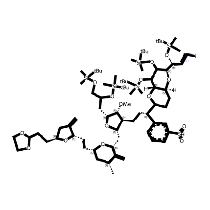 C=C1C[C@H](CCC2OCCO2)O[C@H]1CC[C@H]1C[C@@H](C)C(=C)[C@@H](C[C@@H]2O[C@H](CC(CO[Si](C)(C)C(C)(C)C)O[Si](C)(C)C(C)(C)C)[C@H](OC)[C@H]2CC[C@@H](c2cccc([SH](=O)=O)c2)C2CC[C@@H]3O[C@H]([C@@H](/C=C/I)O[Si](C)(C)C(C)(C)C)C(O[Si](C)(C)C(C)(C)C)C(O[Si](C)(C)C(C)(C)C)[C@H]3O2)O1